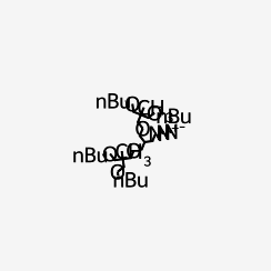 CCCCOCC(C)(COCCCC)COCC(CN=[N+]=[N-])COCC(C)(COCCCC)COCCCC